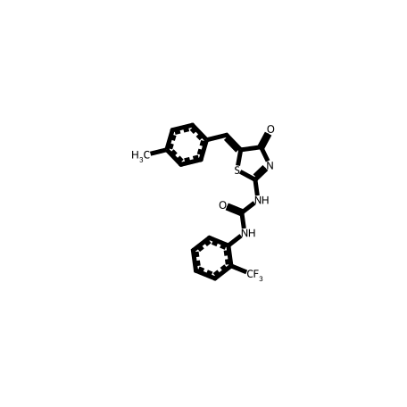 Cc1ccc(/C=C2\SC(NC(=O)Nc3ccccc3C(F)(F)F)=NC2=O)cc1